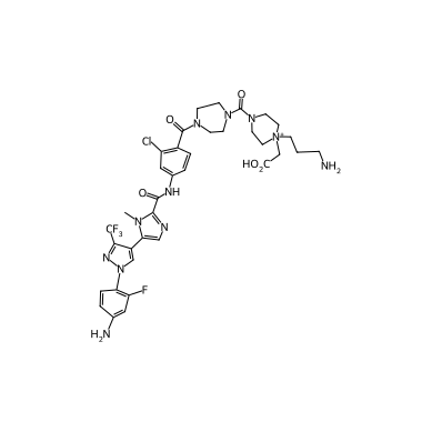 Cn1c(-c2cn(-c3ccc(N)cc3F)nc2C(F)(F)F)cnc1C(=O)Nc1ccc(C(=O)N2CCN(C(=O)N3CC[N+](CCCN)(CC(=O)O)CC3)CC2)c(Cl)c1